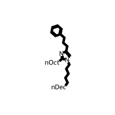 CCCCCCCCCCCCCCCn1cc(CCCc2ccccc2)nc1CCCCCCCC